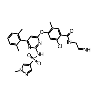 Cc1cc(C(=O)NCC=N)c(Cl)cc1Oc1cc(-c2c(C)cccc2C)nc(NS(=O)(=O)c2cnn(C)c2)n1